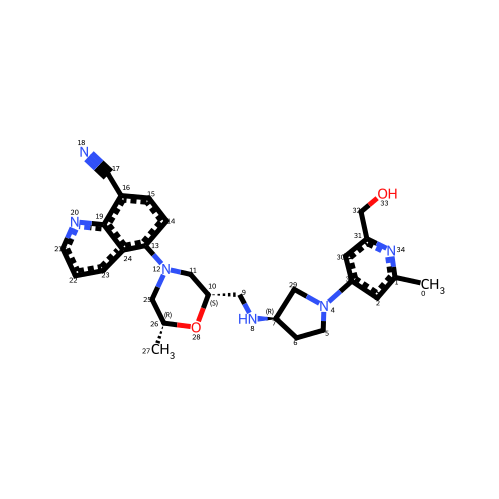 Cc1cc(N2CC[C@@H](NC[C@H]3CN(c4ccc(C#N)c5ncccc45)C[C@@H](C)O3)C2)cc(CO)n1